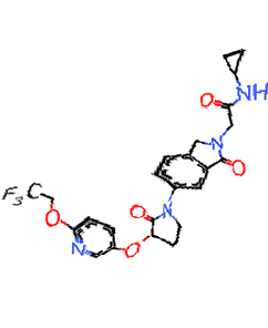 O=C(CN1Cc2ccc(N3CC[C@@H](Oc4ccc(OCC(F)(F)F)nc4)C3=O)cc2C1=O)NC1CC1